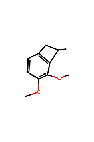 COc1ccc2c(c1OC)C(C)C2